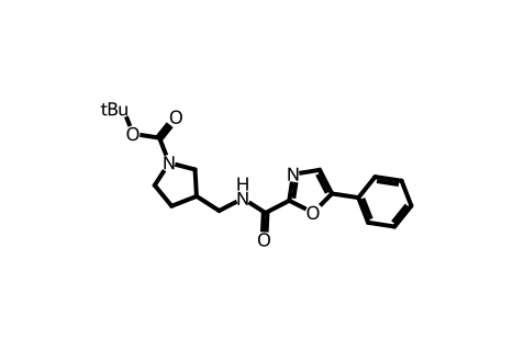 CC(C)(C)OC(=O)N1CCC(CNC(=O)c2ncc(-c3ccccc3)o2)C1